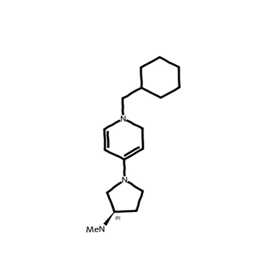 CN[C@@H]1CCN(C2=CCN(CC3CCCCC3)C=C2)C1